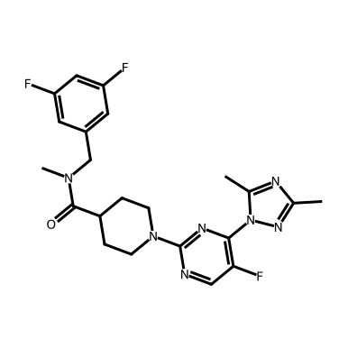 Cc1nc(C)n(-c2nc(N3CCC(C(=O)N(C)Cc4cc(F)cc(F)c4)CC3)ncc2F)n1